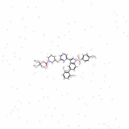 Cc1ccc(S(=O)(=O)n2cc(-c3cncc(OC4CCCN(C(=O)OC(C)(C)C)C4)n3)c3cc(-c4c(F)cccc4F)ccc32)cc1